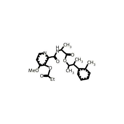 CCC(=O)Oc1c(OC)ccnc1C(=O)NC(C)C(=O)OC(C)C(C)c1ccccc1C